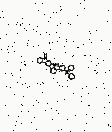 C[N+](c1ccccc1)(c1ccccc1)c1cccc(-c2cccc3c2[nH]c2cc4[nH]c5ccccc5c4cc23)c1